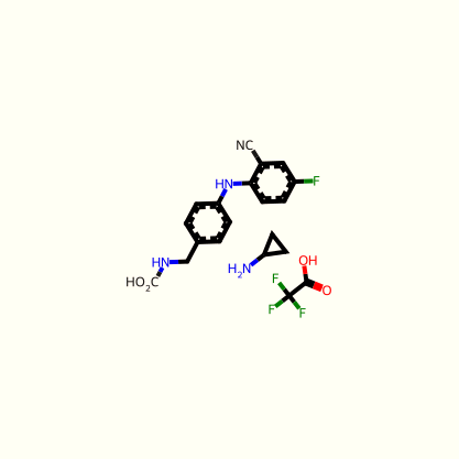 N#Cc1cc(F)ccc1Nc1ccc(CNC(=O)O)cc1.NC1CC1.O=C(O)C(F)(F)F